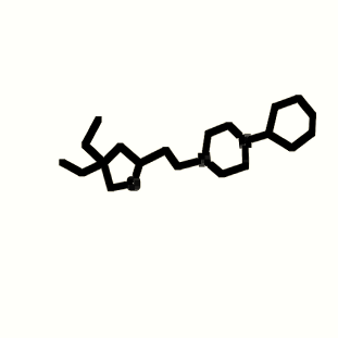 CCC1(CC)COC(CCN2CCN(C3CCCCC3)CC2)C1